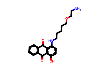 NCCOCCCCCNc1ccc(O)c2c1C(=O)c1ccccc1C2=O